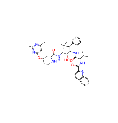 Cc1cc(OC2CCNC(C(=O)NCC(O)C(NC(=O)[C@@H](NC(=O)c3ccc4ccccc4n3)C(C)C)C(c3ccccc3)C(C)(C)C)C2)nc(C)n1